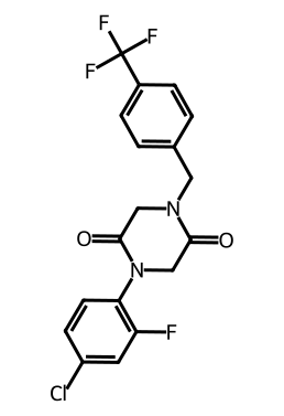 O=C1CN(c2ccc(Cl)cc2F)C(=O)CN1Cc1ccc(C(F)(F)F)cc1